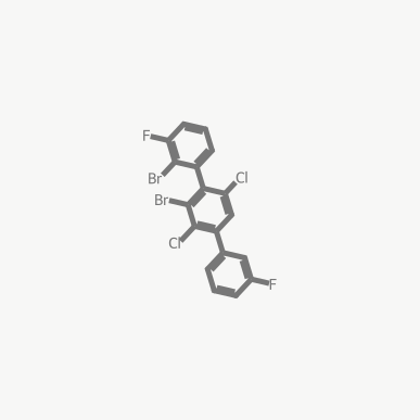 Fc1cccc(-c2cc(Cl)c(-c3cccc(F)c3Br)c(Br)c2Cl)c1